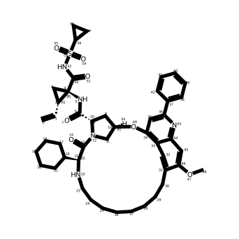 C=C[C@@H]1C[C@]1(NC(=O)[C@@H]1C[C@@H]2CN1C(=O)[C@H](C1CCCCC1)NCCCCCCCCc1cc3c(cc(-c4ccccc4)nc3cc1OC)O2)C(=O)NS(=O)(=O)C1CC1